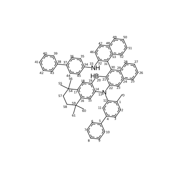 Cc1ccc(-c2ccccc2)cc1N1c2cc3c(cc2Bc2c1cc1ccccc1c2-c1c(Nc2ccc(-c4ccccc4)cc2)ccc2ccccc12)C(C)(C)CCC3(C)C